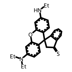 CCNc1ccc2c(c1)Oc1cc(N(CC)CC)ccc1C21CC(=S)c2ccccc21